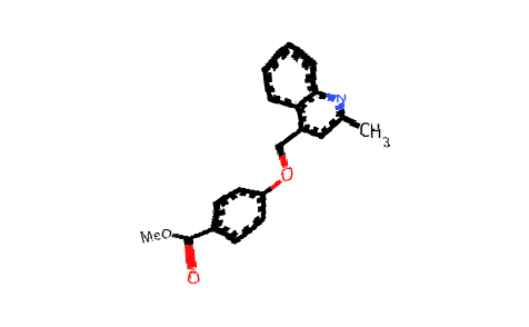 COC(=O)c1ccc(OCc2cc(C)nc3ccccc23)cc1